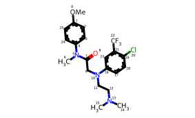 COc1ccc(N(C)C(=O)CN(CCN(C)C)c2ccc(Cl)c(C(F)(F)F)c2)cc1